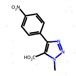 Cn1nnc(-c2ccc([N+](=O)[O-])cc2)c1C(=O)O